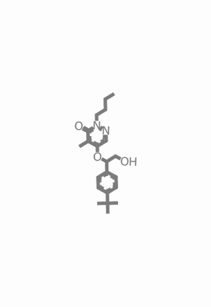 CCCCn1ncc(OC(CO)c2ccc(C(C)(C)C)cc2)c(C)c1=O